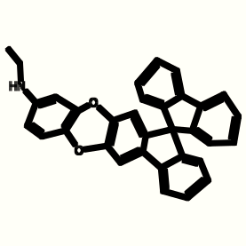 CCNc1ccc2c(c1)Oc1cc3c(cc1O2)-c1ccccc1C31c2ccccc2-c2ccccc21